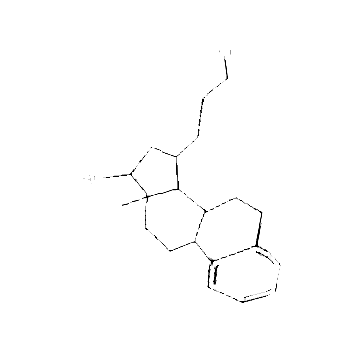 CC12CCC3c4ccccc4CCC3C1C(CCCO)CC2O